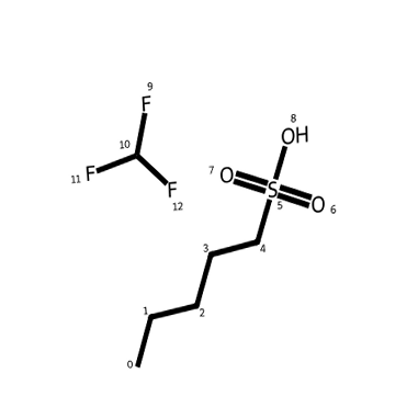 CCCCCS(=O)(=O)O.FC(F)F